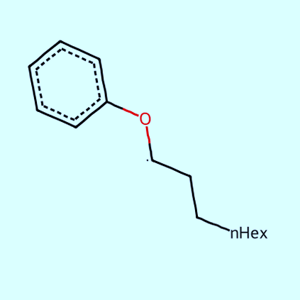 CCCCCCCC[CH]Oc1ccccc1